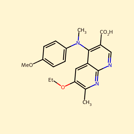 CCOc1cc2c(N(C)c3ccc(OC)cc3)c(C(=O)O)cnc2nc1C